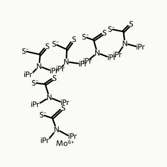 CC(C)N(C(=S)[S-])C(C)C.CC(C)N(C(=S)[S-])C(C)C.CC(C)N(C(=S)[S-])C(C)C.CC(C)N(C(=S)[S-])C(C)C.CC(C)N(C(=S)[S-])C(C)C.CC(C)N(C(=S)[S-])C(C)C.[Mo+6]